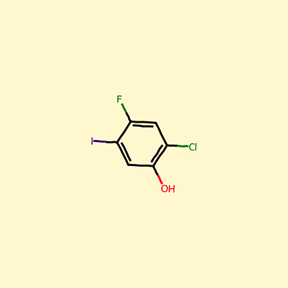 Oc1cc(I)c(F)cc1Cl